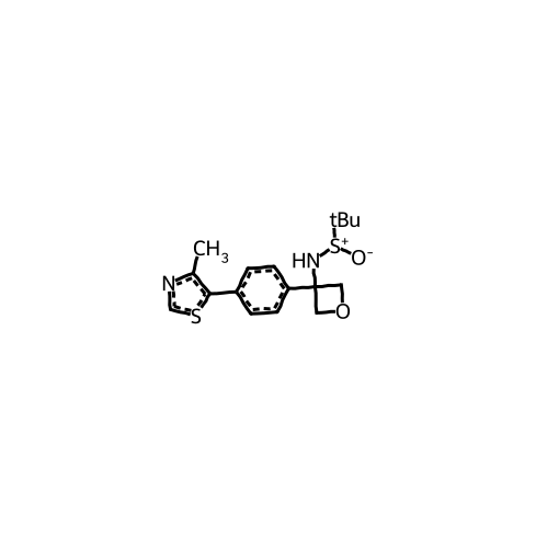 Cc1ncsc1-c1ccc(C2(N[S+]([O-])C(C)(C)C)COC2)cc1